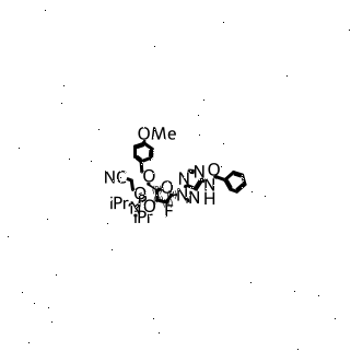 COc1ccc(COC[C@H]2O[C@@H](n3cnc4c(NC(=O)c5ccccc5)ncnc43)[C@H](F)[C@@H]2OP(OCCC#N)N(C(C)C)C(C)C)cc1